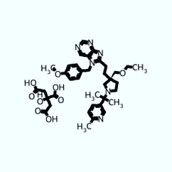 CCOC[C@@]1(CCc2nc3ncncc3n2Cc2ccc(OC)cc2)CCN(C(C)(C)c2ccc(C)nc2)C1.O=C(O)CC(O)(CC(=O)O)C(=O)O